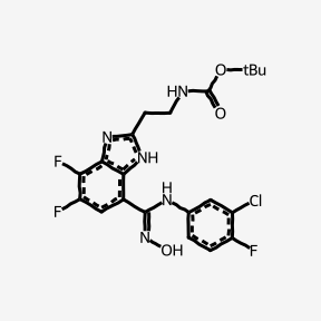 CC(C)(C)OC(=O)NCCc1nc2c(F)c(F)cc(/C(=N/O)Nc3ccc(F)c(Cl)c3)c2[nH]1